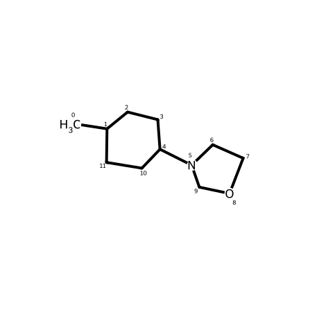 CC1CCC(N2CCOC2)CC1